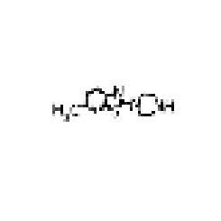 Cc1ccc2nc(N3CCNCC3)sc2c1